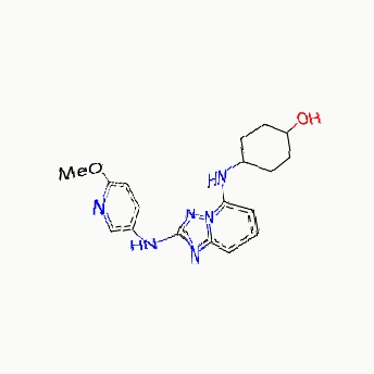 COc1ccc(Nc2nc3cccc(NC4CCC(O)CC4)n3n2)cn1